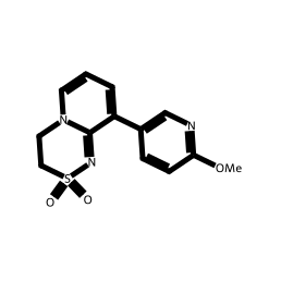 COc1ccc(C2=CC=CN3CCS(=O)(=O)N=C23)cn1